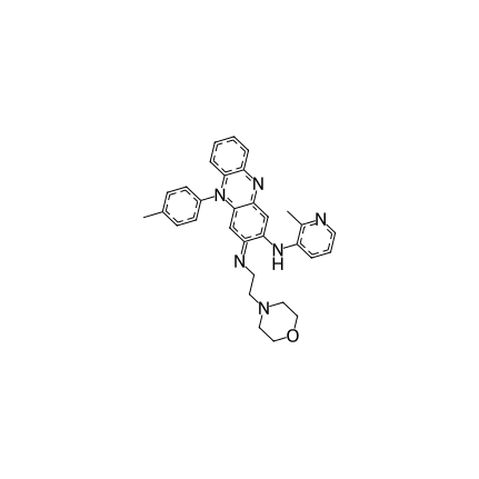 Cc1ccc(-n2c3c/c(=N/CCN4CCOCC4)c(Nc4cccnc4C)cc-3nc3ccccc32)cc1